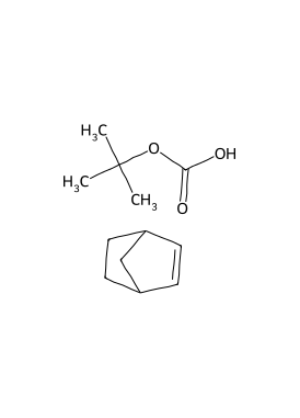 C1=CC2CCC1C2.CC(C)(C)OC(=O)O